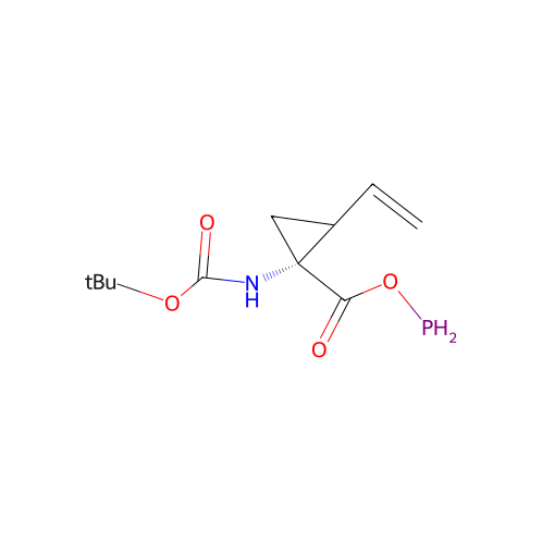 C=CC1C[C@]1(NC(=O)OC(C)(C)C)C(=O)OP